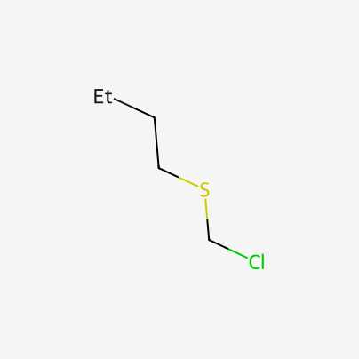 CCCCSCCl